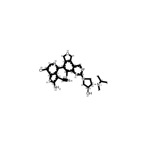 CC(C)N(C)[C@H]1CN(c2ncc3c4c(c(-c5ncc(Cl)c6sc(N)c(C#N)c56)c(F)c3n2)COC4)C[C@@H]1O